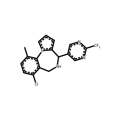 Cc1ccc(Cl)c2c1-n1cccc1C(c1cnc(C(F)(F)F)nc1)NC2